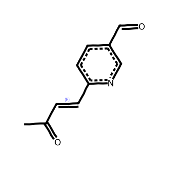 CC(=O)/C=C/c1ccc(C=O)cn1